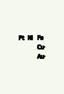 [Au].[Cu].[Fe].[Ni].[Pt]